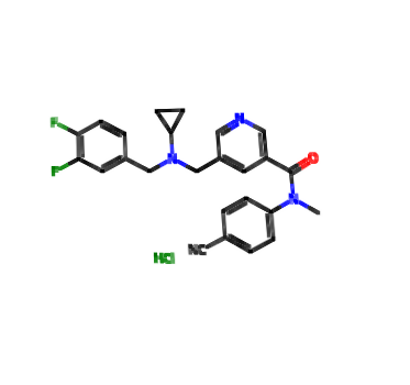 CN(C(=O)c1cncc(CN(Cc2ccc(F)c(F)c2)C2CC2)c1)c1ccc(C#N)cc1.Cl